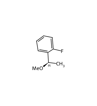 CO[C@H](C)c1ccccc1F